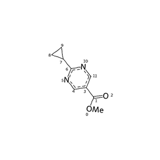 COC(=O)c1cnc(C2CC2)nc1